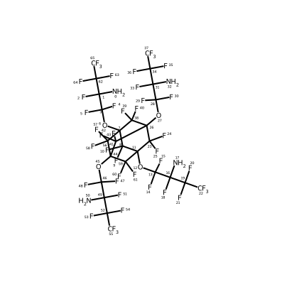 NC(F)(C(F)(F)OC12C(F)(F)C3(OC(F)(F)C(N)(F)C(F)(F)C(F)(F)F)C(F)(F)C(OC(F)(F)C(N)(F)C(F)(F)C(F)(F)F)(C1(F)F)C(F)(F)C(OC(F)(F)C(N)(F)C(F)(F)C(F)(F)F)(C2(F)F)C3(F)F)C(F)(F)C(F)(F)F